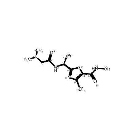 CC(C)[C@H](NC(=O)CN(C)C)c1nc(C(F)(F)F)c(C(=O)NO)s1